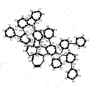 C1#CCC(c2cc(S(c3ccccc3)(c3cccc(-c4ccccc4)c3)c3cccc(-c4ccccc4)c3)cc(-c3ccccc3)c2-n2c3c(c4cc(-n5c6ccccc6c6cccc(-c7ccccc7-c7ccccc7)c65)ccc42)C=CCC3)=CC=C1